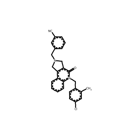 Cc1cc(Cl)ccc1Cn1c(=O)c2c(c3ccccc31)CN(Cc1cccc(C#N)c1)C2